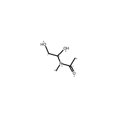 CC(=O)N(C)C(O)CO